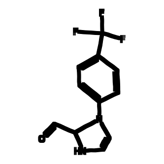 O=CC1NC=CN1c1ccc(C(F)(F)F)cc1